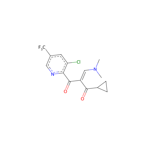 CN(C)/C=C(/C(=O)c1ncc(C(F)(F)F)cc1Cl)C(=O)C1CC1